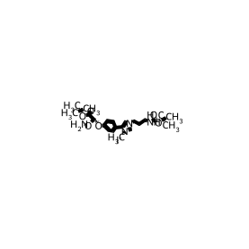 C[n+]1cn(CCCNC(=O)OC(C)(C)C)cc1-c1ccc(OC[C@H](ON)C(=O)OC(C)(C)C)cc1.[I-]